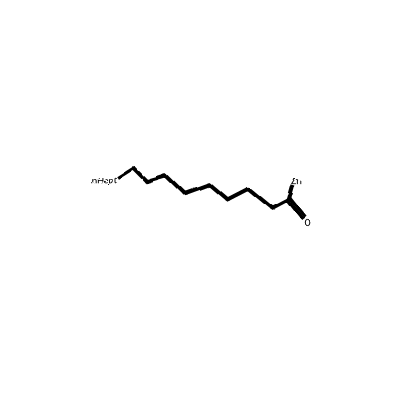 CCCCCCCCCCCCCCC[C](=O)[Zn]